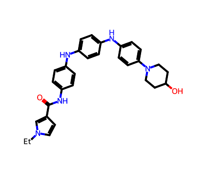 CCn1ccc(C(=O)Nc2ccc(Nc3ccc(Nc4ccc(N5CCC(O)CC5)cc4)cc3)cc2)c1